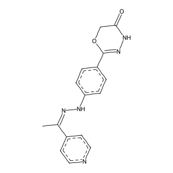 CC(=NNc1ccc(C2=NNC(=O)CO2)cc1)c1ccncc1